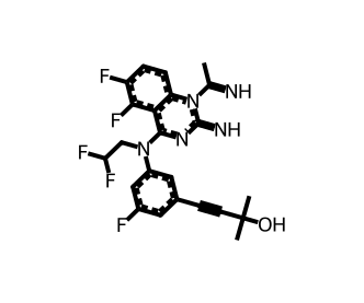 CC(=N)n1c(=N)nc(N(CC(F)F)c2cc(F)cc(C#CC(C)(C)O)c2)c2c(F)c(F)ccc21